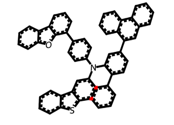 c1ccc(-c2ccc(-c3cc4ccccc4c4ccccc34)cc2N(c2ccc(-c3cccc4c3oc3ccccc34)cc2)c2ccc3sc4ccccc4c3c2)cc1